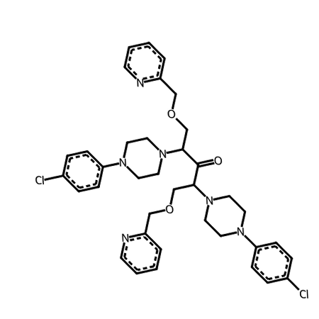 O=C(C(COCc1ccccn1)N1CCN(c2ccc(Cl)cc2)CC1)C(COCc1ccccn1)N1CCN(c2ccc(Cl)cc2)CC1